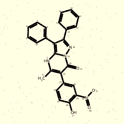 Cc1[nH]c2c(-c3ccccc3)c(-c3ccccc3)nn2c(=O)c1-c1ccc(O)c([N+](=O)[O-])c1